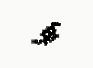 COc1ccc2cc([C@H](C)C(=O)O)ccc2c1.O=[N+]([O-])O